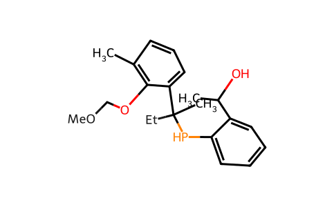 CCC(C)(Pc1ccccc1C(C)O)c1cccc(C)c1OCOC